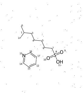 CC(C)CCCCCS(=O)(=O)O.c1ccncc1